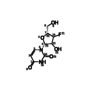 O=c1ccn([C@@H]2O[C@H](CO)C(F)C2O)c(=O)[nH]1